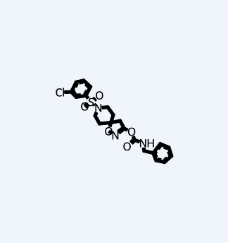 O=C(NCc1ccccc1)OC1=NOC2(CCN(S(=O)(=O)c3cccc(Cl)c3)CC2)C1